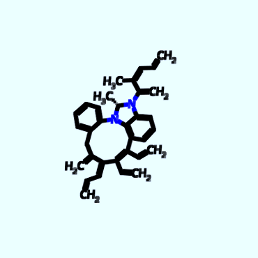 C=C/C=C(/C)C(=C)N1c2cccc3c2N(c2ccccc2CC(=C)C(=C\C=C)/C(C=C)=C\3C=C)[C@@H]1C